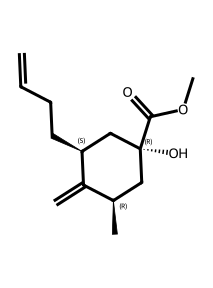 C=CCC[C@H]1C[C@@](O)(C(=O)OC)C[C@@H](C)C1=C